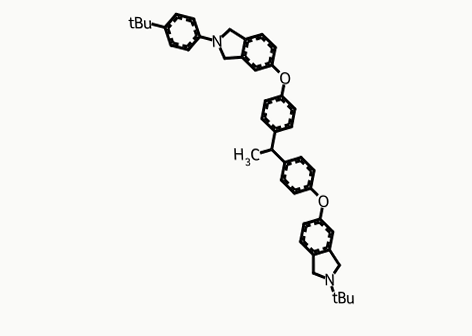 CC(c1ccc(Oc2ccc3c(c2)CN(c2ccc(C(C)(C)C)cc2)C3)cc1)c1ccc(Oc2ccc3c(c2)CN(C(C)(C)C)C3)cc1